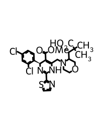 COC(=O)C1=C(CN2CCOCC2CC(C)(C)C(=O)O)NC(c2nccs2)=N[C@H]1c1ccc(Cl)cc1Cl